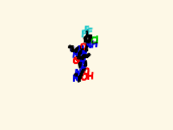 C/C=C/c1cnc2c(n1)c(=O)c(N1CCN(C(=O)c3ncnc(C)c3O)CC1)c(CC)n2CC(=O)Nc1ccc(C(F)(F)F)cc1Cl